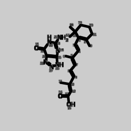 CC1=C(/C=C/C(C)=C/C=C/C(C)=C/C(=O)O)C(C)(C)CCC1.Nc1nc2[nH]nnc2c(=O)[nH]1